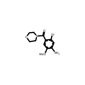 CCc1cc(N)c(OC)cc1C(=O)N1CCOCC1